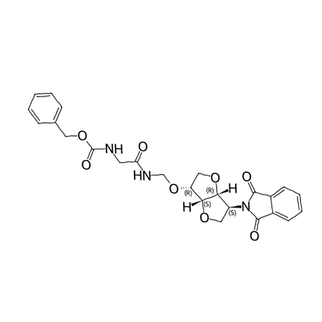 O=C(CNC(=O)OCc1ccccc1)NCO[C@@H]1CO[C@H]2[C@@H]1OC[C@@H]2N1C(=O)c2ccccc2C1=O